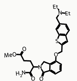 CCN(CC)Cc1ccc2cc(COc3cccc4c3CN(C(CCC(=O)OC)C(N)=O)C4=O)sc2c1